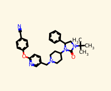 CC(C)(C)N1CC(c2ccccc2)N(C2CCN(Cc3ccc(Oc4ccc(C#N)cc4)nc3)CC2)C1=O